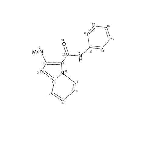 CNc1nc2ccccn2c1C(=O)Nc1ccccc1